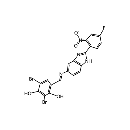 O=[N+]([O-])c1cc(F)ccc1-c1nc2cc(/N=C/c3cc(Br)c(O)c(Br)c3O)ccc2[nH]1